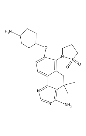 CC1(C)Cc2c(ccc(OC3CCC(N)CC3)c2N2CCCS2(=O)=O)-c2ncnc(N)c21